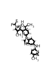 Cc1ccc(Nc2ccc3c(c2)ncn3-c2ccc(C(C)O)c(-c3nn(C(F)F)cc3C)n2)nn1